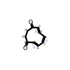 O=C1/C=C/C=C\C=C\C(=O)CC1